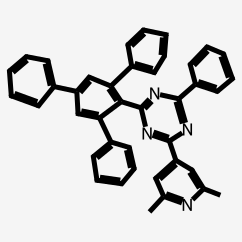 Cc1cc(-c2nc(-c3ccccc3)nc(-c3c(-c4ccccc4)cc(-c4ccccc4)cc3-c3ccccc3)n2)cc(C)n1